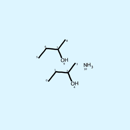 CCC(C)O.CCC(C)O.N